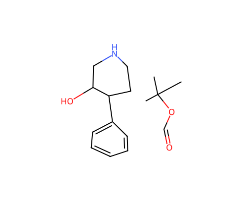 CC(C)(C)OC=O.OC1CNCCC1c1ccccc1